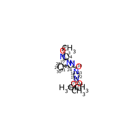 COc1ccc(-n2nc(C(=O)N3CCN(C(=O)OC(C)(C)C)CC3)cc2-c2ccccc2)cn1